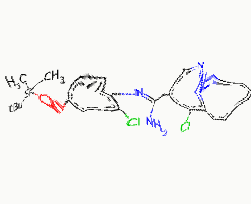 CC(C)(C)[Si](C)(C)Oc1ccc(/N=C(\N)c2cnn3cccc3c2Cl)c(Cl)c1